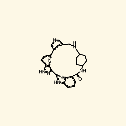 O=C1NC2CCC(CC2)NCc2cncc(c2)-c2ccc3[nH]nc(c3n2)-c2nc3c1cccc3[nH]2